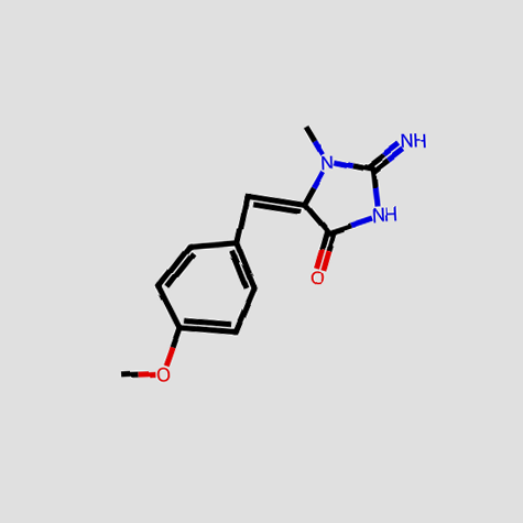 COc1ccc(/C=C2\C(=O)NC(=N)N2C)cc1